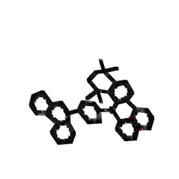 CC1(C)CCC(C)(C)c2c1ccc(-c1ccccc1)c2N(c1ccccc1)c1ccc(-c2cc3ccccc3c3ccccc23)cc1